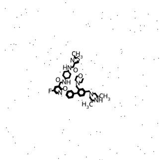 Cc1nc(C(=O)NC2CCC(NC(=O)c3cc(F)cnc3Oc3cccc(-c4ccc(CN5C[C@@H](C)N[C@@H](C)C5)cc4CN4CCOCC4)c3)CC2)cs1